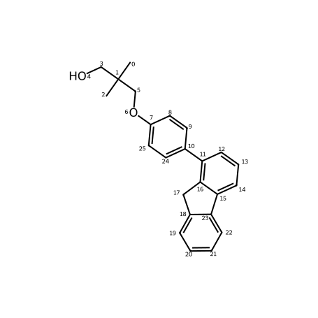 CC(C)(CO)COc1ccc(-c2cccc3c2Cc2ccccc2-3)cc1